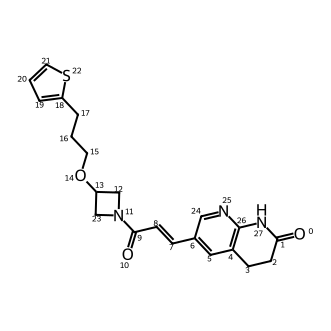 O=C1CCc2cc(C=CC(=O)N3CC(OCCCc4cccs4)C3)cnc2N1